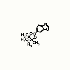 CC1(C)OB(c2ccc3ncoc3c2)OC1(C)C